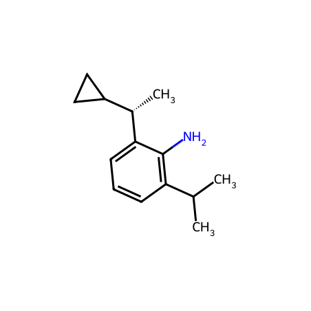 CC(C)c1cccc([C@@H](C)C2CC2)c1N